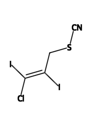 N#CSCC(I)=C(Cl)I